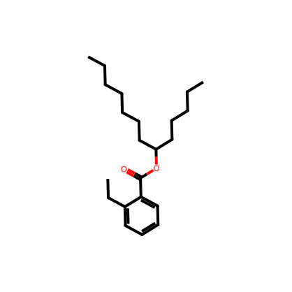 CCCCCCCC(CCCCC)OC(=O)c1ccccc1CC